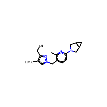 CCOC(=O)c1cn(Cc2ccc(N3CC4CC4C3)nc2C)nc1CC#N